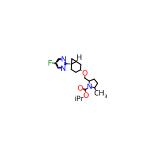 CC(C)OC(=O)N1C(C)CCC1CO[C@@H]1CC[C@]2(c3ncc(F)cn3)C[C@@H]2C1